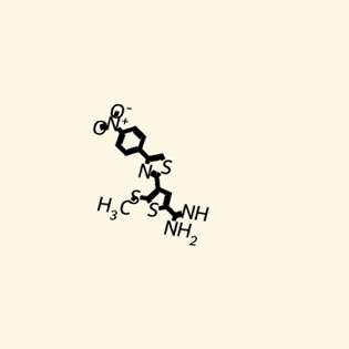 CSc1sc(C(=N)N)cc1-c1nc(-c2ccc([N+](=O)[O-])cc2)cs1